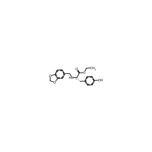 CCOC(=O)[C@H](Cc1ccc(O)cc1)NCc1ccc2c(c1)OCO2